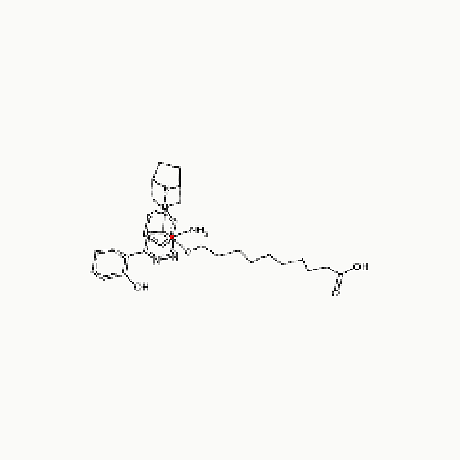 Nc1nnc(-c2ccccc2O)cc1N1CC2CCC(C1)N2c1cccc(OCCCCCCCCCC(=O)O)c1